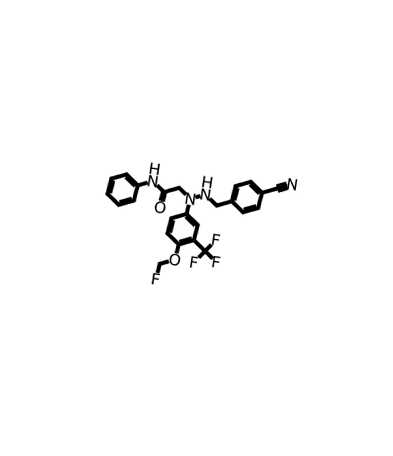 N#Cc1ccc(CNN(CC(=O)Nc2ccccc2)c2ccc(OCF)c(C(F)(F)F)c2)cc1